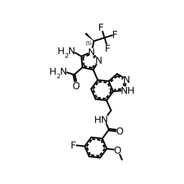 COc1ccc(F)cc1C(=O)NCc1ccc(-c2nn([C@@H](C)C(F)(F)F)c(N)c2C(N)=O)c2cn[nH]c12